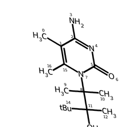 Cc1c(N)nc(=O)n(C(C)(C)C(C)(O)C(C)(C)C)c1C